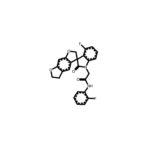 O=C(CN1C(=O)C2(COc3cc4c(cc32)CCO4)c2c(F)cccc21)Nc1ccccc1F